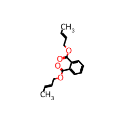 CC=CCOC(=O)c1ccccc1C(=O)OCC=CC